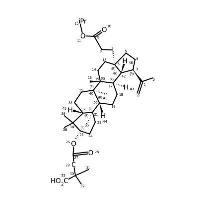 C=C(C)[C@@H]1CC[C@]2(CCC(=O)OC(C)C)CC[C@]3(C)[C@H](CC[C@@H]4[C@@]5(C)CC[C@H](OC(=O)CC(C)(C)C(=O)O)C(C)(C)[C@@H]5CC[C@]43C)[C@@H]12